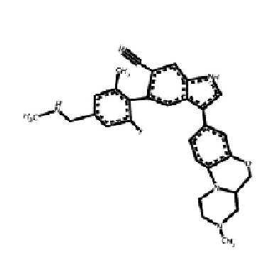 CNCc1cc(C)c(-c2cc3c(-c4ccc5c(c4)OCC4CN(C)CCN54)c[nH]c3cc2C#N)c(F)c1